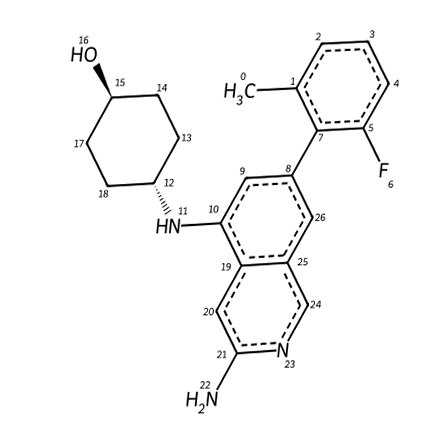 Cc1cccc(F)c1-c1cc(N[C@H]2CC[C@H](O)CC2)c2cc(N)ncc2c1